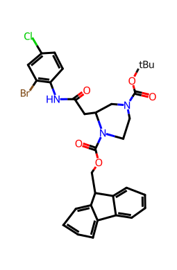 CC(C)(C)OC(=O)N1CCN(C(=O)OCC2c3ccccc3-c3ccccc32)C(CC(=O)Nc2ccc(Cl)cc2Br)C1